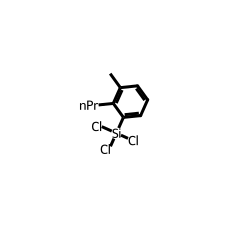 CCCc1c(C)cccc1[Si](Cl)(Cl)Cl